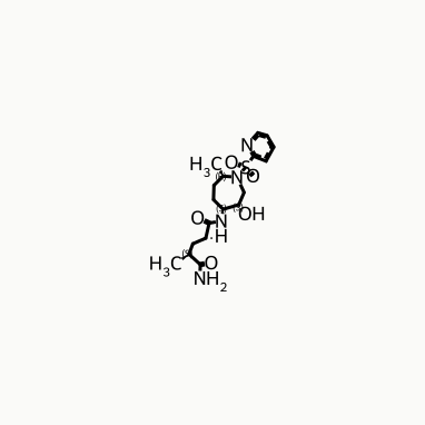 C[C@@H]1CC[C@H](NC(=O)[CH]C[C@H](C)C(N)=O)[C@@H](O)CN1S(=O)(=O)c1ccccn1